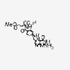 COC(=O)CC[C@H](NC(=O)C1C=CC(NCc2cnc3nc(N)[nH]c(=O)c3n2)CC1)C(=O)O